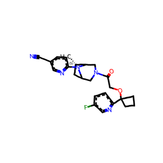 C[C@H]1CC2CN(C(=O)COC3(c4ccc(F)cn4)CCC3)CC1N2c1ccc(C#N)cn1